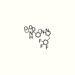 O=C(N[C@@H]1CCOC1=O)c1cccc2c1CCN2c1cc(Cc2cc(F)c(F)c(F)c2)ccn1